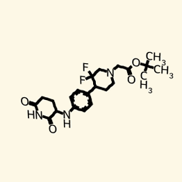 CC(C)(C)OC(=O)CN1CCC(c2ccc(NC3CCC(=O)NC3=O)cc2)C(F)(F)C1